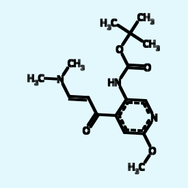 COc1cc(C(=O)/C=C/N(C)C)c(NC(=O)OC(C)(C)C)cn1